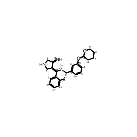 N=C1CNC/C1=C(/NCc1cccc(OC2CCCCO2)c1)c1ccccc1Cl